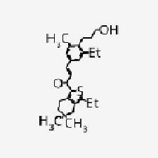 CCc1cc(C=CC(=O)c2sc(CC)c3c2CCC(C)(C)C3)cc(C)c1CCCO